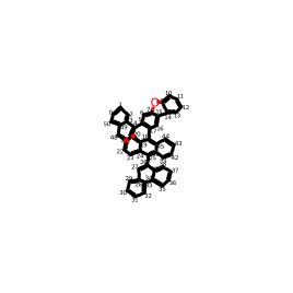 c1ccc2c(-c3cc4oc5ccccc5c4cc3-c3c4ccccc4c(-c4cc5ccccc5c5ccccc45)c4ccccc34)cccc2c1